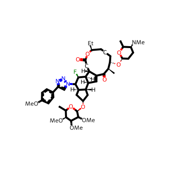 CC[C@H]1CCC[C@H](O[C@H]2CC[C@H](NC)C(C)O2)[C@@H](C)C(=O)C2=C[C@H]3[C@@H]4C[C@H](O[C@@H]5OC(C)[C@H](OC)C(OC)C5OC)C[C@H]4C(n4cc(-c5ccc(OC)cc5)nn4)[C@@H](F)[C@H]3[C@@H]2CC(=O)O1